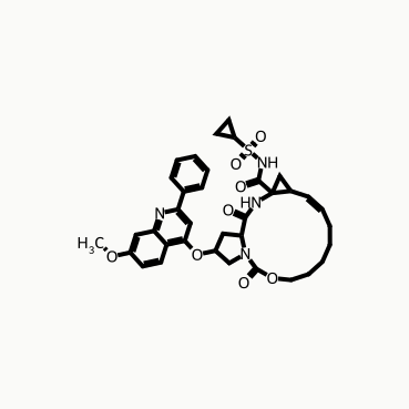 COc1ccc2c(OC3CC4C(=O)NC5(C(=O)NS(=O)(=O)C6CC6)CC5/C=C\CCCCCOC(=O)N4C3)cc(-c3ccccc3)nc2c1